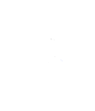 CSCC[C@H](N)C(=O)OCCl